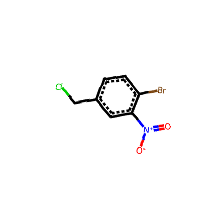 O=[N+]([O-])c1cc(CCl)ccc1Br